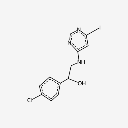 OC(CNc1cc(I)ncn1)c1ccc(Cl)cc1